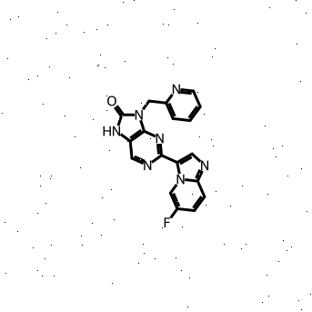 O=c1[nH]c2cnc(-c3cnc4ccc(F)cn34)nc2n1Cc1ccccn1